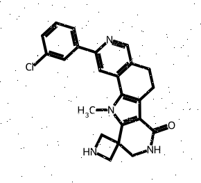 Cn1c2c(c3c1C1(CNC1)CNC3=O)CCc1cnc(-c3cccc(Cl)c3)cc1-2